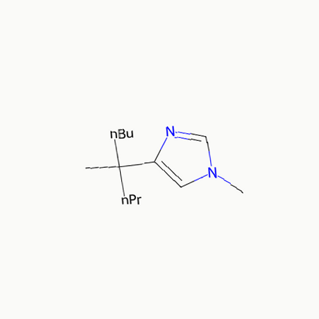 CCCCC(C)(CCC)c1cn(C)cn1